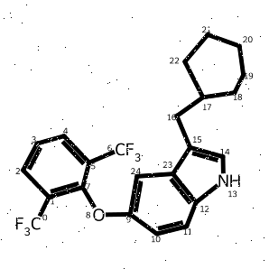 FC(F)(F)c1c[c]cc(C(F)(F)F)c1Oc1ccc2[nH]cc(CC3CCCCC3)c2c1